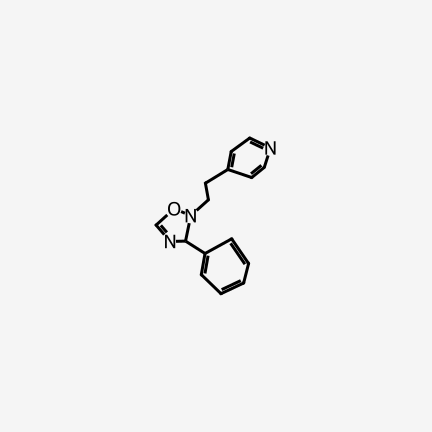 C1=NC(c2ccccc2)N(CCc2ccncc2)O1